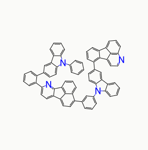 c1ccc(-n2c3ccccc3c3cc(-c4ccccc4-c4ccc5c(n4)-c4cccc6c(-c7cccc(-n8c9ccccc9c9cc(-c%10cccc%11c%10-c%10ccnc%12cccc-%11c%10%12)ccc98)c7)ccc-5c46)ccc32)cc1